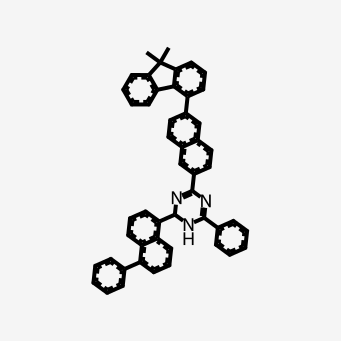 CC1(C)c2ccccc2-c2c(-c3ccc4cc(C5=NC(c6cccc7c(-c8ccccc8)cccc67)NC(c6ccccc6)=N5)ccc4c3)cccc21